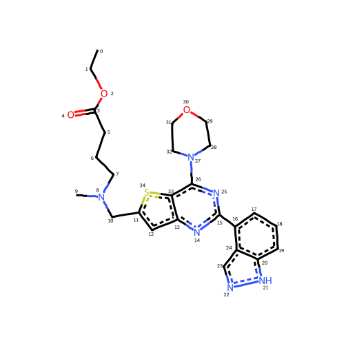 CCOC(=O)CCCN(C)Cc1cc2nc(-c3cccc4[nH]ncc34)nc(N3CCOCC3)c2s1